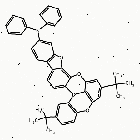 CC(C)(C)c1cc2c3c(c1)Oc1c(ccc4c1oc1cc(N(c5ccccc5)c5ccccc5)ccc14)B3c1cc(C(C)(C)C)ccc1O2